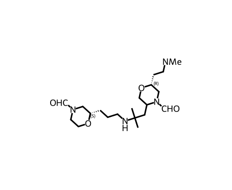 CNCC[C@@H]1CN(C=O)C(CC(C)(C)NCCC[C@H]2CN(C=O)CCO2)CO1